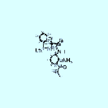 CC[C@@H](Nc1c(Nc2cccc(C(=O)N(C)C)c2N)c(=O)c1=O)c1ccccc1